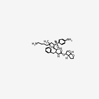 CC(C)(CCCCN)CN(C[C@@H](O)[C@H](Cc1ccccc1)NC(=O)O[C@H]1CO[C@H]2OCC[C@H]21)S(=O)(=O)c1ccc(N)cc1